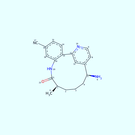 C[C@@H]1CCC[C@H](N)c2ccnc(c2)-c2ccc(C#N)cc2NC1=O